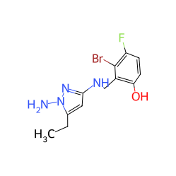 CCc1cc(NCc2c(O)ccc(F)c2Br)nn1N